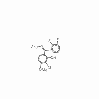 COc1ccc(/C(=N\OC(C)=O)c2cccc(F)c2F)c(O)c1Cl